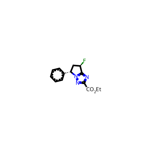 CCOC(=O)c1nc2n(n1)[C@H](c1ccccc1)C[C@H]2F